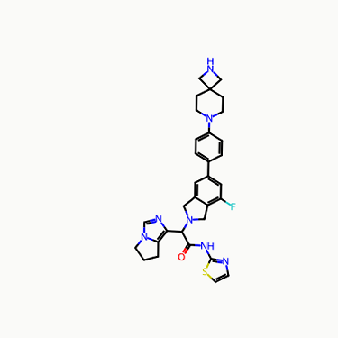 O=C(Nc1nccs1)C(c1ncn2c1CCC2)N1Cc2cc(-c3ccc(N4CCC5(CC4)CNC5)cc3)cc(F)c2C1